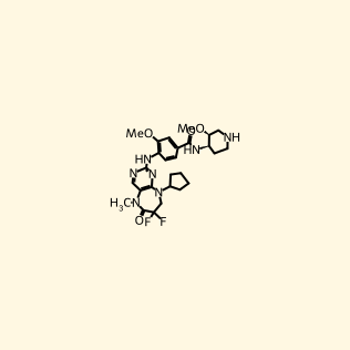 COc1cc(C(=O)N[C@@H]2CCNC[C@@H]2OC)ccc1Nc1ncc2c(n1)N(C1CCCC1)CC(F)(F)C(=O)N2C